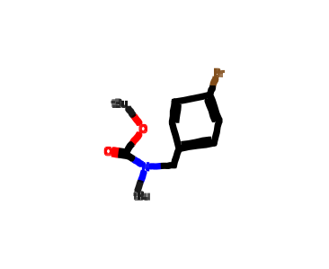 CC(C)(C)OC(=O)N(Cc1ccc(Br)cc1)C(C)(C)C